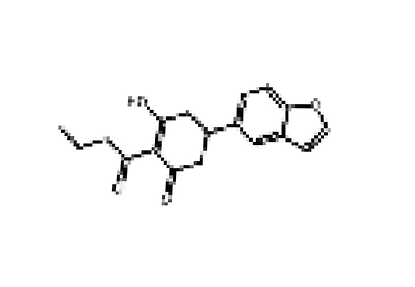 CCCC(=O)C1=C(O)CC(c2ccc3occc3c2)CC1=O